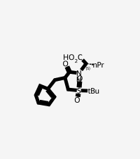 CCC[C@H](NC(=O)C(Cc1ccccc1)CS(=O)(=O)C(C)(C)C)C(=O)O